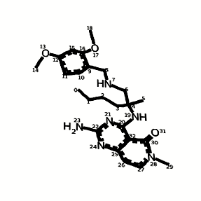 CCCCC(C)(CNCc1ccc(OC)cc1OC)Nc1nc(N)nc2ccn(C)c(=O)c12